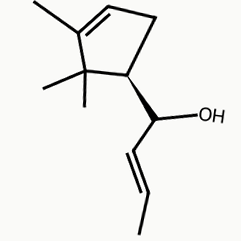 C/C=C/C(O)[C@@H]1CC=C(C)C1(C)C